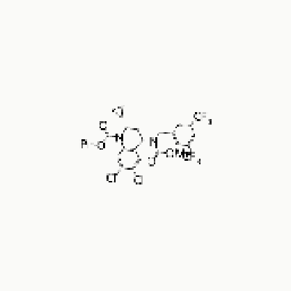 COC(=O)N(Cc1cc(C(F)(F)F)cc(C(F)(F)F)c1)[C@H]1C[C@@H](C2CC2)N(C(=O)OC(C)C)c2cc(Cl)c(Cl)cc21